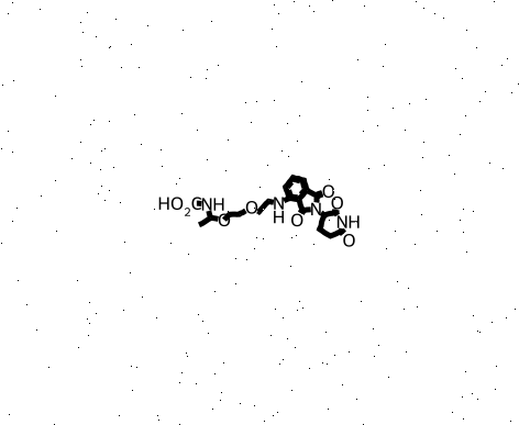 CC(NC(=O)O)OCCOCCNc1cccc2c1C(=O)N(C1CCC(=O)NC1=O)C2=O